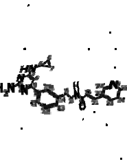 Nc1nc(NC2CC2)cc(-c2cccc(CCNC(=O)/C=C/c3cccnc3)c2)n1